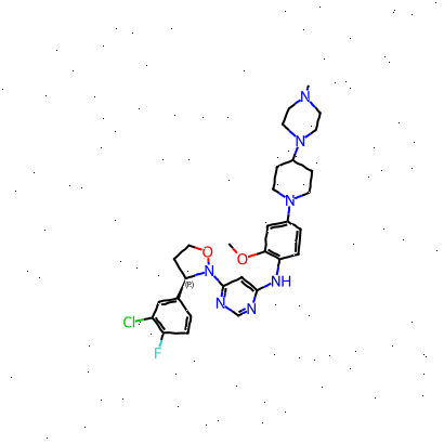 COc1cc(N2CCC(N3CCN(C)CC3)CC2)ccc1Nc1cc(N2OCC[C@@H]2c2ccc(F)c(Cl)c2)ncn1